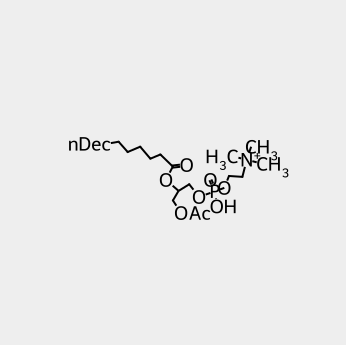 CCCCCCCCCCCCCCCC(=O)OC(COC(C)=O)COP(=O)(O)OCC[N+](C)(C)C